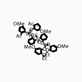 CCOc1ccc(OC)cc1OP(Oc1cc(OC)ccc1OCC)Oc1ccccc1[Si](C)(C)c1ccccc1OP(Oc1cc(OC)ccc1C(C)=O)Oc1cc(OC)ccc1C(C)=O